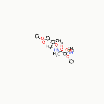 Cc1cc(-c2cccc(C(=O)OCc3ccccc3)c2)cc(C)c1OCCN[C@@H](C)[C@@H](O)c1ccc(OCc2ccccc2)c(NS(C)(=O)=O)c1